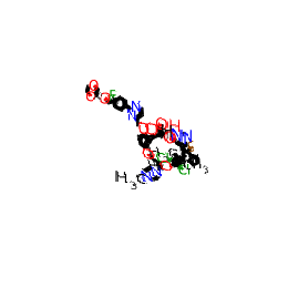 Cc1c(Cl)c2c(Cl)c(C)c1-c1c(C3=CCCC3)sc3ncnc(c13)O[C@@H](C(=O)O)Cc1cc(ccc1OCc1ccnc(C3=CC[C@@](F)(COC[C@H]4COCCO4)CC3)n1)OC[C@@H](CN1CCN(C)CC1)O2